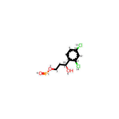 O=POCC[C@H](O)c1ccc(Cl)cc1Cl